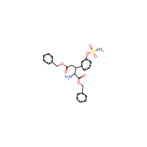 CS(=O)(=O)Oc1cccc(C(CC(=O)OCc2ccccc2)C(N)C(=O)OCc2ccccc2)c1